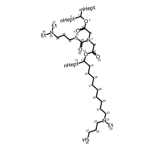 CCCCCCCC(CCCCCCC)OC(=O)CN(CC(=O)OC(CCCCCCC)CCCCCCCCCN(CC)CCCS)C(=O)SCCCN(CC)CC